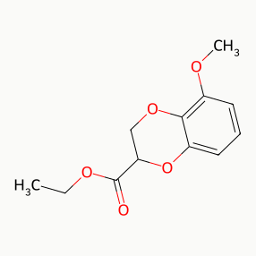 CCOC(=O)C1COc2c(OC)cccc2O1